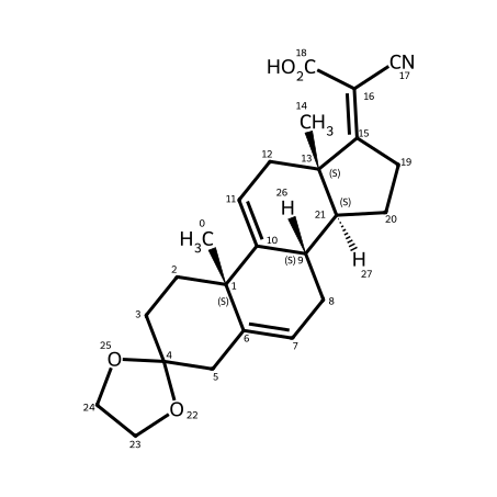 C[C@]12CCC3(CC1=CC[C@@H]1C2=CC[C@]2(C)C(=C(C#N)C(=O)O)CC[C@@H]12)OCCO3